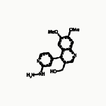 COc1cc2ncc(CO)c(-c3ccnc(NN)c3)c2cc1OC